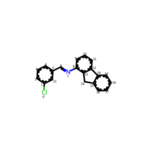 Clc1cccc(C=Nc2cccc3c2Cc2ccccc2-3)c1